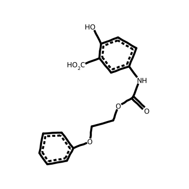 O=C(Nc1ccc(O)c(C(=O)O)c1)OCCOc1ccccc1